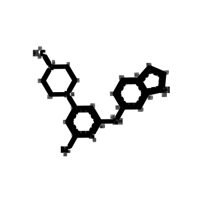 CN1CCN(c2cc(C#N)nc(Nc3ccc4cc[nH]c4c3)c2)CC1